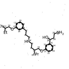 CCCC(CCNCCCc1cccc(OCC(CC)CC)c1)COc1cccc(C(O)CCN)c1